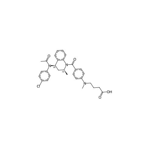 CC(=O)N(c1ccc(Cl)cc1)[C@@H]1C[C@H](C)N(C(=O)c2ccc(N(C)CCCC(=O)O)cc2)c2ccccc21